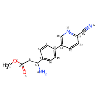 COC(=O)CC(N)c1ccc(-c2ccc(C#N)nc2)cc1